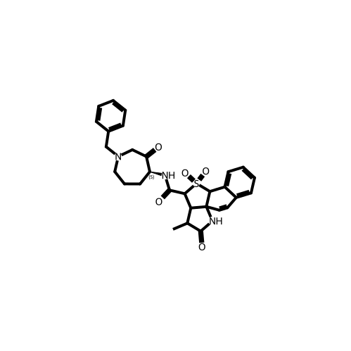 CC1C(=O)NC23C=Cc4ccccc4C2S(=O)(=O)[C](C(=O)N[C@H]2CCCN(Cc4ccccc4)CC2=O)C13